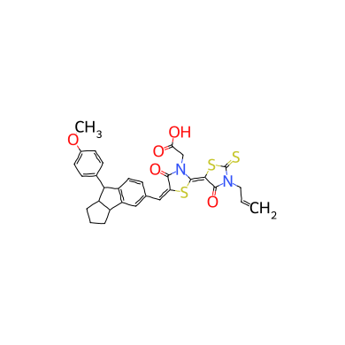 C=CCN1C(=O)/C(=c2\s/c(=C/c3ccc4c(c3)C3CCCC3C4c3ccc(OC)cc3)c(=O)n2CC(=O)O)SC1=S